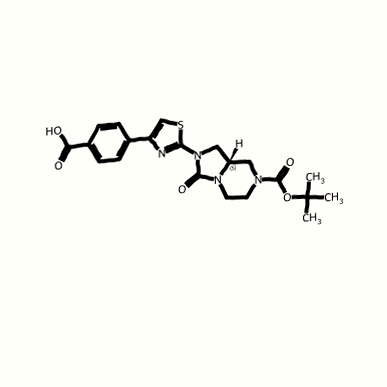 CC(C)(C)OC(=O)N1CCN2C(=O)N(c3nc(-c4ccc(C(=O)O)cc4)cs3)C[C@@H]2C1